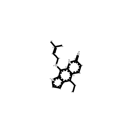 CCc1c2ccoc2c(OCC=C(C)C)c2oc(=O)ccc12